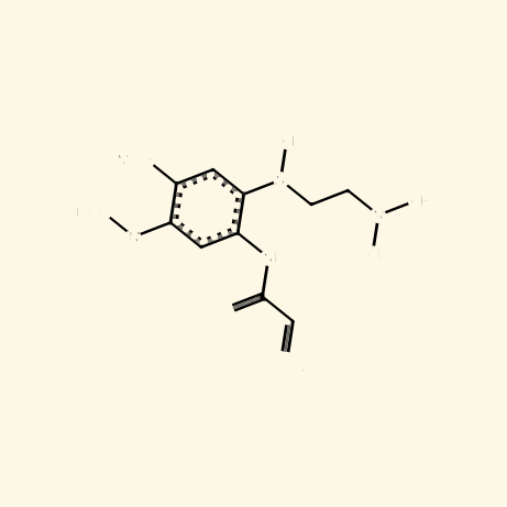 C=CC(=O)Nc1cc(NC(=O)O)c(OC)cc1N(C)CCN(C)C